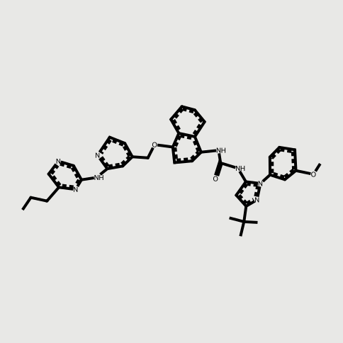 CCCc1cncc(Nc2cc(COc3ccc(NC(=O)Nc4cc(C(C)(C)C)nn4-c4cccc(OC)c4)c4ccccc34)ccn2)n1